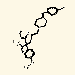 COC(=O)C(CCCN1CCC(=Cc2ccc(F)cc2)CC1)(c1ccc(OC)cc1)C(C)C